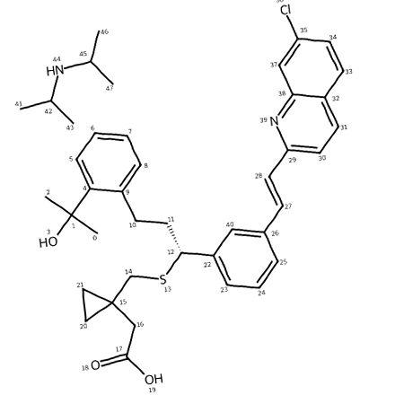 CC(C)(O)c1ccccc1CC[C@@H](SCC1(CC(=O)O)CC1)c1cccc(/C=C/c2ccc3ccc(Cl)cc3n2)c1.CC(C)NC(C)C